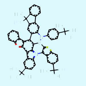 CC(C)(C)c1ccc(N2B3c4sc5ccc(C(C)(C)C)cc5c4-n4c5ccc(C(C)(C)C)cc5c5c6oc7ccccc7c6c(c3c54)-c3cc4c(cc32)-c2ccccc2C4(C)C)cc1